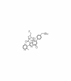 CCC1C(CF)CN1C(=O)c1c(-c2nccnc2C)nn2c(=O)cc(-c3ccc(CC(C)(C)C)cc3)[nH]c12